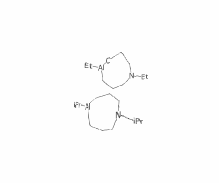 CC(C)N1CC[CH2][Al]([CH](C)C)[CH2]CC1.CCN1CC[CH2][Al]([CH2]C)[CH2]CC1